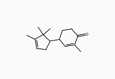 CC1=CC(C2CC=C(C)C2(C)C)CCC1=O